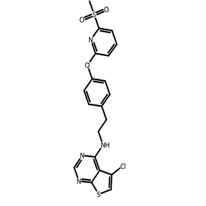 CS(=O)(=O)c1cccc(Oc2ccc(CCNc3ncnc4scc(Cl)c34)cc2)n1